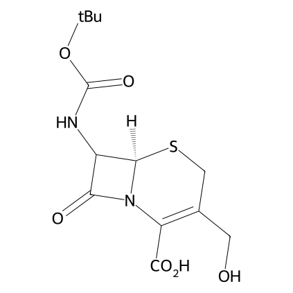 CC(C)(C)OC(=O)NC1C(=O)N2C(C(=O)O)=C(CO)CS[C@H]12